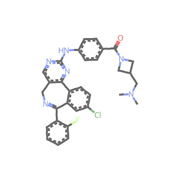 CN(C)CC1CN(C(=O)c2ccc(Nc3ncc4c(n3)-c3ccc(Cl)cc3C(c3ccccc3F)=NC4)cc2)C1